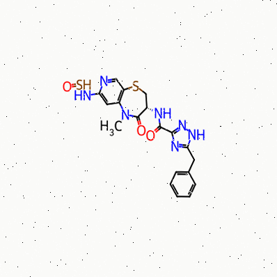 CN1C(=O)[C@@H](NC(=O)c2n[nH]c(Cc3ccccc3)n2)CSc2cnc(N[SH]=O)cc21